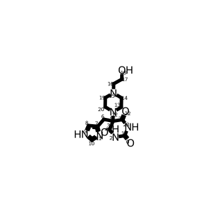 O=C1NC(=O)C(Cc2c[nH]cn2)(N2CCN(CCO)CC2)C(=O)N1